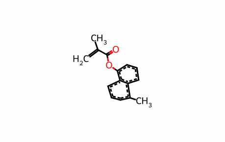 C=C(C)C(=O)Oc1cccc2c(C)cccc12